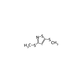 CSc1[c]c(SC)sn1